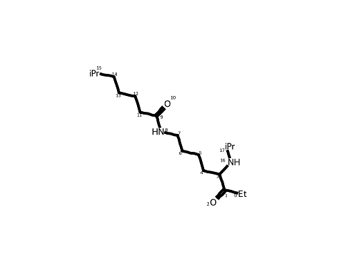 CCC(=O)C(CCCCNC(=O)CCCCC(C)C)NC(C)C